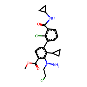 COC(=O)c1ccc(-c2cccc(C(=O)NC3CC3)c2Cl)c(C2CC2)c1N(N)CCCl